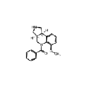 COc1cccc2c1N(C(=O)c1ccccc1)C[C@H]1CNC[C@@H]21